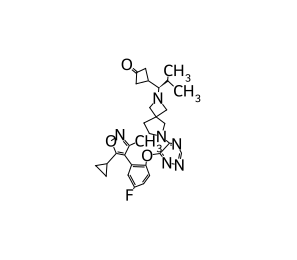 Cc1noc(C2CC2)c1-c1cc(F)ccc1Oc1nncnc1N1CCC2(C1)CN([C@H](C(C)C)C1CC(=O)C1)C2